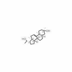 CC(O)[C@H]1CC[C@H]2[C@@H]3CC[C@@H]4C[C@](C)(O)CC[C@]4(C)C3=CC[C@]12C